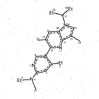 CCc1cc(N(C)CC)ncc1-c1nc2c(C)cn(C(CC)CC)c2cc1C